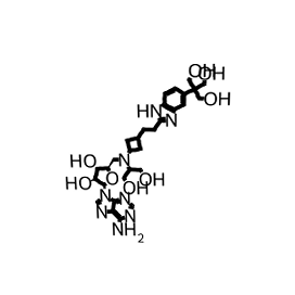 Nc1ncnc2c1ncn2[C@@H]1O[C@H](CN(C(CO)CO)C2CC(CCc3nc4cc(C(CO)(CO)CO)ccc4[nH]3)C2)[C@@H](O)[C@H]1O